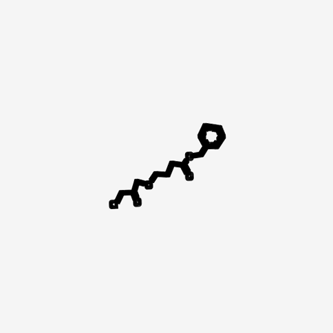 O=C(CCl)COCCCC(=O)OCc1ccccc1